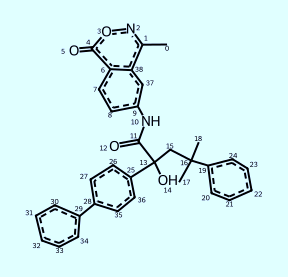 Cc1noc(=O)c2ccc(NC(=O)C(O)(CC(C)(C)c3ccccc3)c3ccc(-c4ccccc4)cc3)cc12